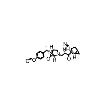 C[C@@H](c1ccc(OC=O)cc1)N1C(=O)[C@@H]2C[C@H]1CN2C[C@H](N)C(=O)N1[C@H](C#N)CC2C[C@@H]21